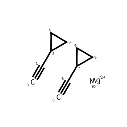 [C-]#CC1CC1.[C-]#CC1CC1.[Mg+2]